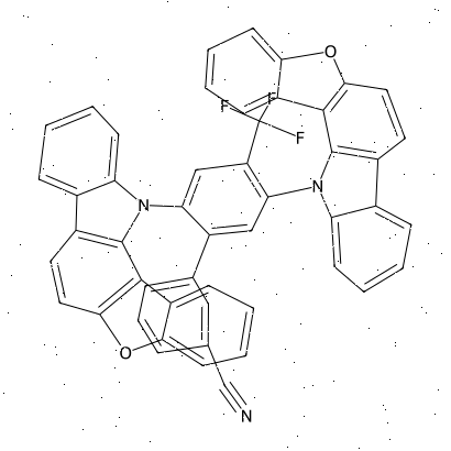 N#Cc1cccc(-c2cc(-n3c4ccccc4c4ccc5oc6ccccc6c5c43)c(C(F)(F)F)cc2-n2c3ccccc3c3ccc4oc5ccccc5c4c32)c1